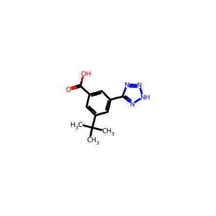 CC(C)(C)c1cc(C(=O)O)cc(-c2nn[nH]n2)c1